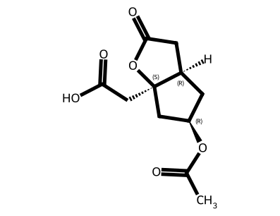 CC(=O)O[C@@H]1C[C@@H]2CC(=O)O[C@]2(CC(=O)O)C1